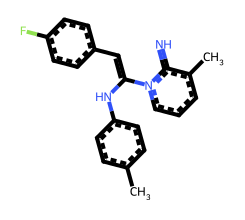 Cc1ccc(N/C(=C\c2ccc(F)cc2)n2cccc(C)c2=N)cc1